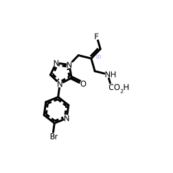 O=C(O)NC/C(=C/F)Cn1ncn(-c2ccc(Br)nc2)c1=O